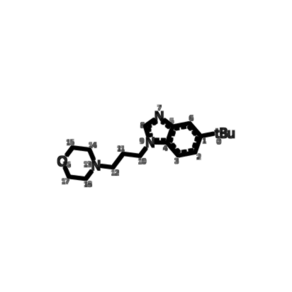 CC(C)(C)c1ccc2c(c1)ncn2CCCN1CCOCC1